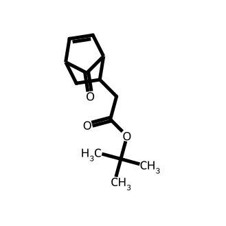 CC(C)(C)OC(=O)CC1CC2C=CC1C2=O